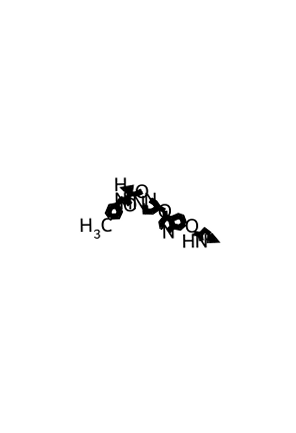 Cc1ccc(NC(=O)C2(C(=O)Nc3ccc(Oc4ccnc5cc(OCC6CC7CC7N6)ccc45)cn3)CC2)cc1